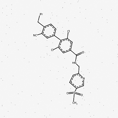 CC(C)Cc1ccc(-c2c(Cl)cc(C(=O)NCc3ccc(S(C)(=O)=O)cn3)cc2Cl)cc1C#N